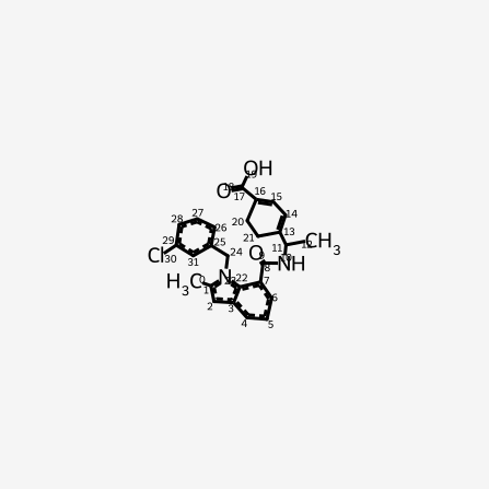 Cc1cc2cccc(C(=O)NC(C)C3=CC=C(C(=O)O)CC3)c2n1Cc1cccc(Cl)c1